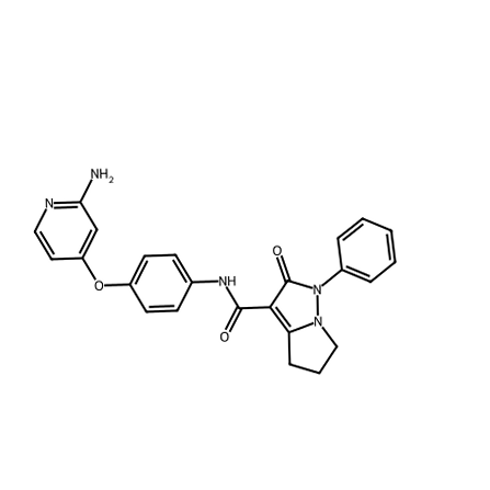 Nc1cc(Oc2ccc(NC(=O)c3c4n(n(-c5ccccc5)c3=O)CCC4)cc2)ccn1